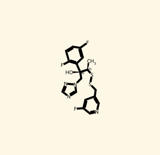 C[C@@H](SSCc1cncc(F)c1)[C@](O)(Cn1cncn1)c1cc(F)ccc1F